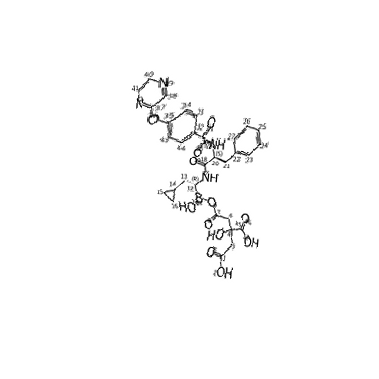 O=C(O)CC(O)(CC(=O)OB(O)[C@H](CC1CC1)NC(=O)[C@H](Cc1ccccc1)NS(=O)(=O)c1ccc(Oc2cnccn2)cc1)C(=O)O